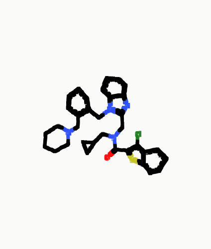 O=C(c1sc2ccccc2c1Cl)N(Cc1nc2ccccc2n1Cc1ccccc1CN1CCCCC1)CC1CC1